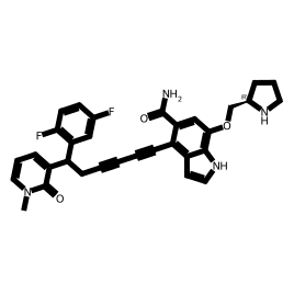 Cn1cccc(C(CC#CC#Cc2c(C(N)=O)cc(OC[C@H]3CCCN3)c3[nH]ccc23)c2cc(F)ccc2F)c1=O